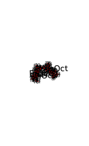 CCCCCCCCc1cc(N(c2ccccc2)c2ccccc2)c2ccccc2c1C(CC)(CC)c1c(CCCCCCCC)cc(N(c2ccccc2)c2ccc(-c3ccc(N(c4ccccc4)c4cc(CCCCCCCC)c(C(CC)(CC)c5c(CCCCCCCC)cc(N(c6ccccc6)c6ccccc6)c6ccccc56)c5ccccc45)cc3)cc2)c2ccccc12